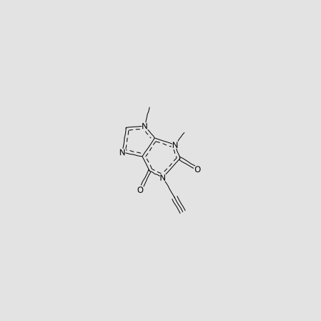 C#Cn1c(=O)c2ncn(C)c2n(C)c1=O